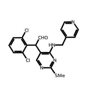 CSc1ncc(C(C=O)c2c(Cl)cccc2Cl)c(NCc2ccncc2)n1